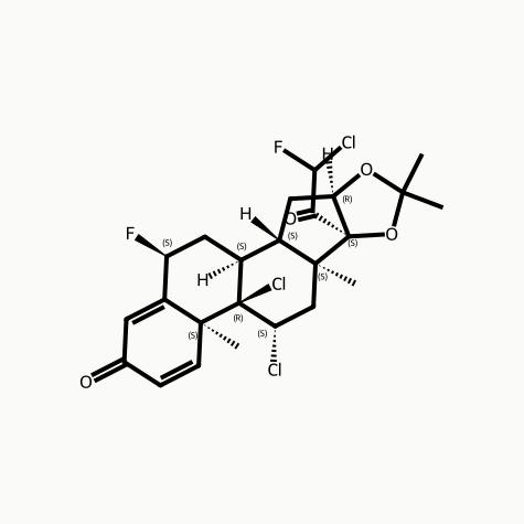 CC1(C)O[C@@H]2C[C@H]3[C@@H]4C[C@H](F)C5=CC(=O)C=C[C@]5(C)[C@@]4(Cl)[C@@H](Cl)C[C@]3(C)[C@]2(C(=O)C(F)Cl)O1